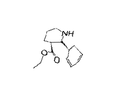 CCOC(=O)[C@H]1CCCNC1[C@@H]1C=CC=CC1